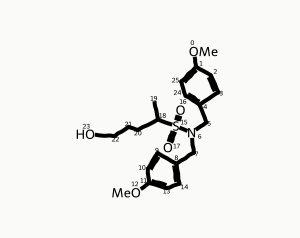 COc1ccc(CN(Cc2ccc(OC)cc2)S(=O)(=O)C(C)CCCO)cc1